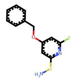 NSc1cc(OCc2ccccc2)cc(F)n1